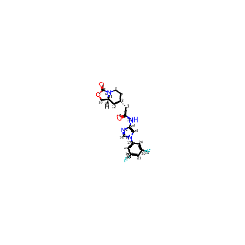 O=C(C[C@H]1CCN2C(=O)OC[C@H]2C1)Nc1cn(-c2cc(F)cc(F)c2)cn1